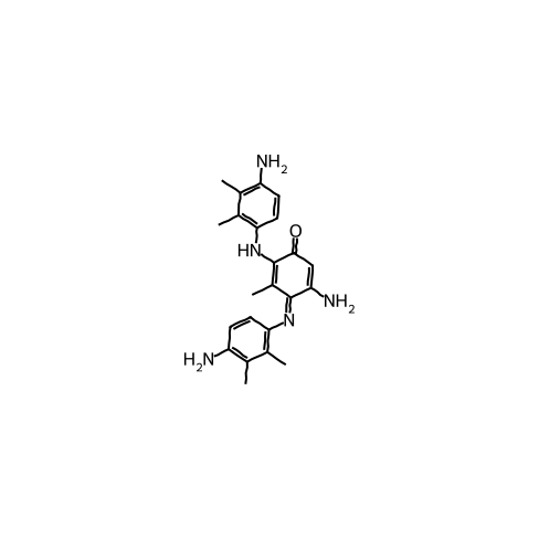 CC1=C(Nc2ccc(N)c(C)c2C)C(=O)C=C(N)C1=Nc1ccc(N)c(C)c1C